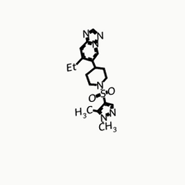 CCc1cc2ncnn2cc1C1CCN(S(=O)(=O)c2cnn(C)c2C)CC1